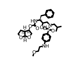 COCCNc1ccc(S(=O)(=O)N(CC(C)C)CC(O)[C@H](Cc2ccccc2)NC(=O)O[C@H]2CO[C@H]3OCC[C@H]32)cc1